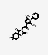 Cc1cc(C(=O)CN2C(=O)NC3(CCC(F)(F)CC3)C2=O)c(C)n1-c1ccccn1